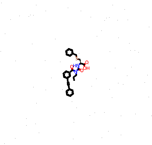 CCCN(C(=O)N[C@@H](CSCc1ccccc1)C(=O)O)C(=O)c1cccc(C#Cc2ccccc2)c1